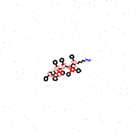 C[C@@H]1OC(c2ccccc2)OCC1O[C@@H](OC[C@H](OC(=O)c1ccccc1)[C@H](OC1C(OC(=O)c2ccccc2)[C@H](OCCCCCN=[N+]=[N-])OC2COC(c3ccccc3)O[C@H]21)OC1COC(c2ccccc2)O[C@H]1C)[C@H](CO[C@@H]1OC2COC(c3ccccc3)O[C@H]2C(O)C1OC(=O)c1ccccc1)OC(=O)c1ccccc1